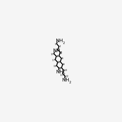 NCCCCCCCCCCCCN.NCCCCCCN